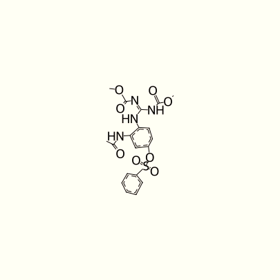 COC(=O)/N=C(/NC(=O)OC)Nc1ccc(OS(=O)(=O)c2ccccc2)cc1NC(C)=O